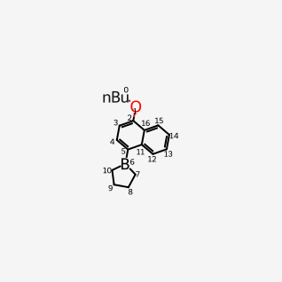 CCCCOc1ccc(B2CCCC2)c2ccccc12